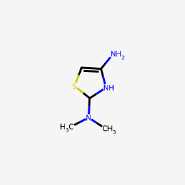 CN(C)C1NC(N)=CS1